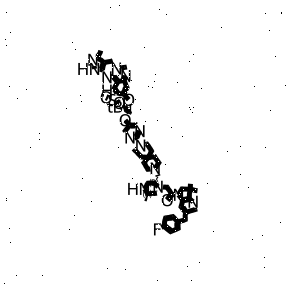 Cc1n[nH]c(Nc2ncnc3cc(OCCOc4cnc(N5CCC6(CCN(C[C@H]7CN[C@H](C)CN7CC(=O)N7CC(C)(C)c8ncc(Cc9ccc(F)cc9)cc87)CC6)CC5)nc4)c(S(=O)(=O)C(C)(C)C)cc23)c1C